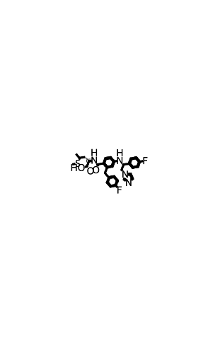 CSC(C)C[C@H](NC(=O)c1ccc(NC(Cn2ccnc2)c2ccc(F)cc2)cc1Cc1ccc(F)cc1)C(=O)O